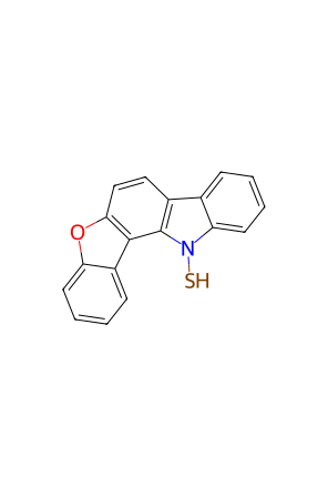 Sn1c2ccccc2c2ccc3oc4ccccc4c3c21